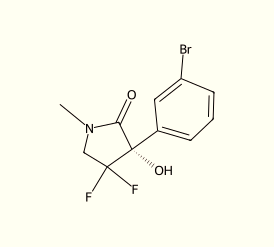 CN1CC(F)(F)[C@](O)(c2cccc(Br)c2)C1=O